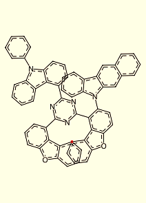 c1ccc(-n2c3ccccc3c3c(-c4nc(-c5cccc6oc7ccccc7c56)nc(-c5c(-n6c7ccccc7c7cc8ccccc8cc76)ccc6oc7ccccc7c56)n4)cccc32)cc1